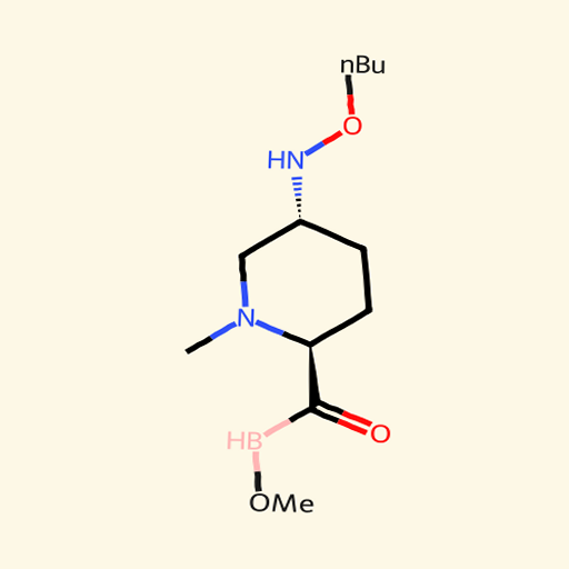 CCCCON[C@@H]1CC[C@@H](C(=O)BOC)N(C)C1